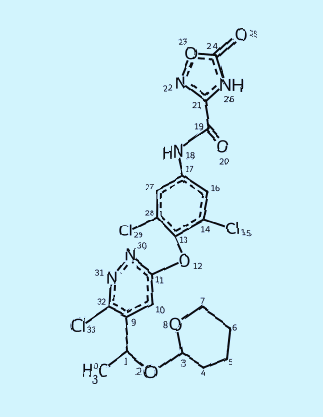 CC(OC1CCCCO1)c1cc(Oc2c(Cl)cc(NC(=O)c3noc(=O)[nH]3)cc2Cl)nnc1Cl